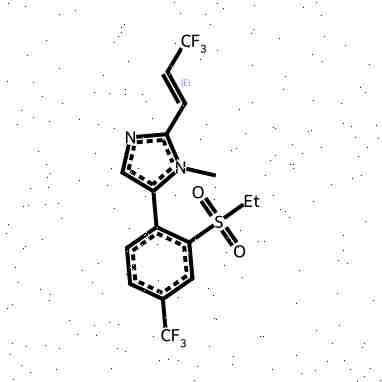 CCS(=O)(=O)c1cc(C(F)(F)F)ccc1-c1cnc(/C=C/C(F)(F)F)n1C